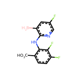 Bc1cc(F)cnc1Nc1c(C(=O)O)ccc(F)c1F